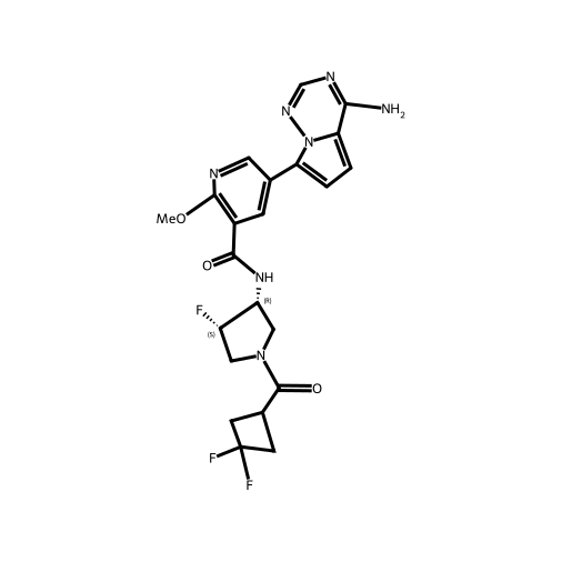 COc1ncc(-c2ccc3c(N)ncnn23)cc1C(=O)N[C@@H]1CN(C(=O)C2CC(F)(F)C2)C[C@@H]1F